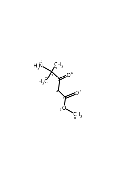 COC(=O)CC(=O)C(C)(C)N